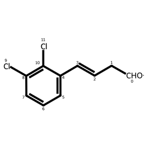 O=[C]CC=Cc1cccc(Cl)c1Cl